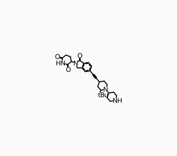 CC(C)(C)C1CC(C#Cc2ccc3c(c2)CN(C2CCC(=O)NC2=O)C3=O)CCN1C1CCNCC1